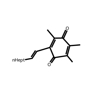 CCCCCCC/C=C/C1=C(C)C(=O)C(C)=C(C)C1=O